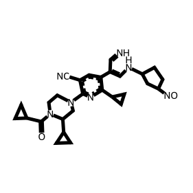 N#Cc1cc(/C(C=N)=C/NC2CCC(N=O)C2)c(C2CC2)nc1N1CCN(C(=O)C2CC2)C(C2CC2)C1